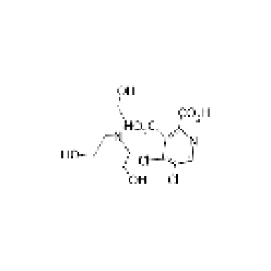 O=C(O)c1ncc(Cl)c(Cl)c1C(=O)O.OCCN(CCO)CCO